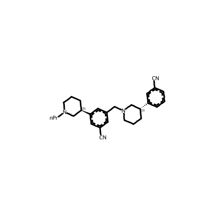 CCCN1CCC[C@@H](c2cc(C#N)cc(CN3CCC[C@@H](c4cccc(C#N)c4)C3)c2)C1